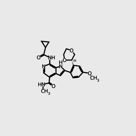 CNC(=O)c1cnc(NC(=O)C2CC2)c2[nH]c(-c3ccc(OC)cc3[C@H]3COCCO3)cc12